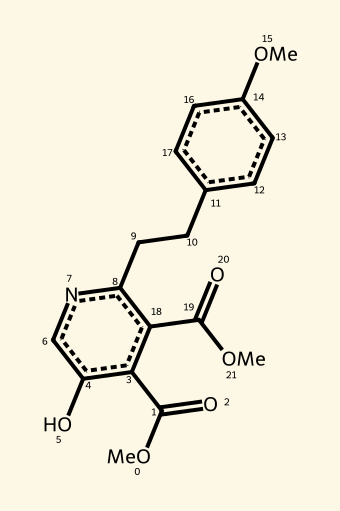 COC(=O)c1c(O)cnc(CCc2ccc(OC)cc2)c1C(=O)OC